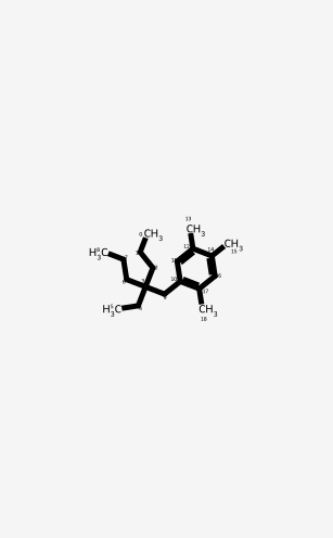 CCCC(CC)(CCC)Cc1cc(C)c(C)cc1C